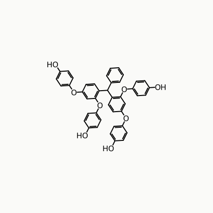 Oc1ccc(Oc2ccc(C(c3ccccc3)c3ccc(Oc4ccc(O)cc4)cc3Oc3ccc(O)cc3)c(Oc3ccc(O)cc3)c2)cc1